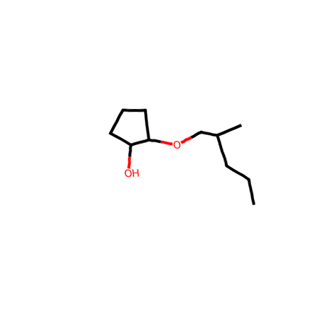 CCCC(C)COC1CCCC1O